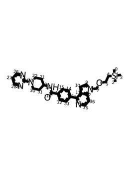 C[Si](C)(C)CCOCn1ccc2c(-c3ccc(C(=O)NC4CCN(c5ncccn5)CC4)cc3)nccc21